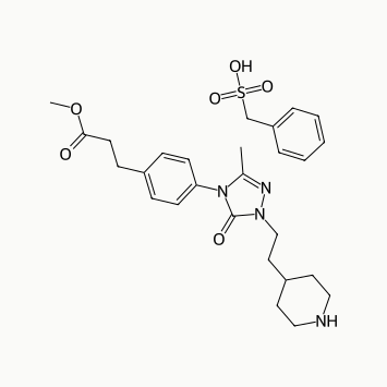 COC(=O)CCc1ccc(-n2c(C)nn(CCC3CCNCC3)c2=O)cc1.O=S(=O)(O)Cc1ccccc1